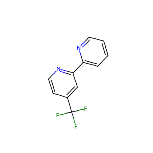 FC(F)(F)c1ccnc(-c2ccccn2)c1